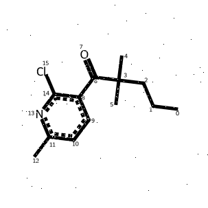 CCCC(C)(C)C(=O)c1ccc(C)nc1Cl